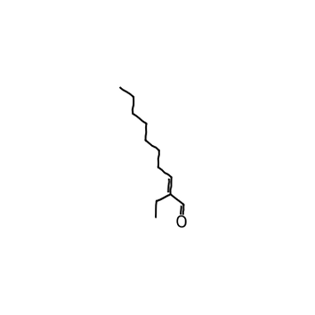 CCCCCCC/C=C(/C=O)CC